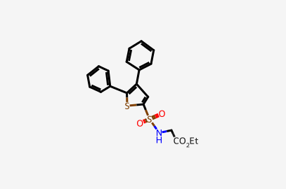 CCOC(=O)CNS(=O)(=O)c1cc(-c2ccccc2)c(-c2ccccc2)s1